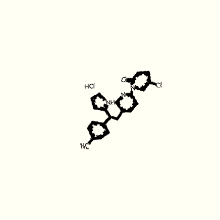 Cl.N#Cc1ccc(C(Cc2ccc(-n3cc(Cl)ccc3=O)nc2)c2ccc[nH]2)cc1